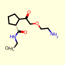 NCCOCC(=O)C1CCC[C@H]1C(=O)NCC=O